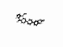 CCOc1ccsc1C(=O)N1CCC(N2CCC(c3ccc4c(c3)[N]C(=O)N4)CC2)CC1